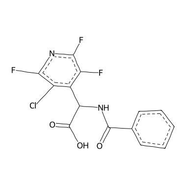 O=C(NC(C(=O)O)c1c(F)c(F)nc(F)c1Cl)c1ccccc1